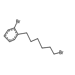 BrCCCCCCc1ccccc1Br